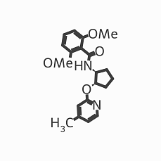 COc1cccc(OC)c1C(=O)N[C@@H]1CCC[C@@H]1Oc1cc(C)ccn1